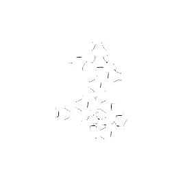 C1=CC(c2cc3c(oc4cccc(-c5cccc(N(c6ccc(-c7ccccc7)cc6)c6ccc7c(c6)C(c6ccccc6)(c6ccccc6)c6ccccc6-7)c5)c43)c3ccccc23)=CCC1